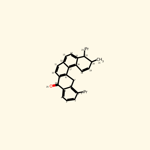 CC(C)c1cccc2c1Cc1c(ccc3ccc4c(c13)C=CC(C)C4C(C)C)C2=O